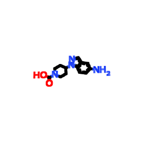 Nc1ccc2c(cnn2C2CCN(C(=O)O)CC2)c1